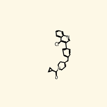 O=C(C1CC1)N1CC=C(Cc2ccc(-c3cnc4ccccc4c3Cl)cc2)CC1